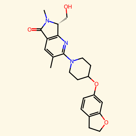 Cc1cc2c(nc1N1CCC(Oc3ccc4c(c3)OCC4)CC1)[C@@H](CO)N(C)C2=O